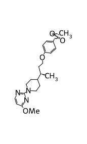 COc1ccnc(N2CCC([C@H](C)CCOc3ccc(S(C)(=O)=O)cc3)CC2)n1